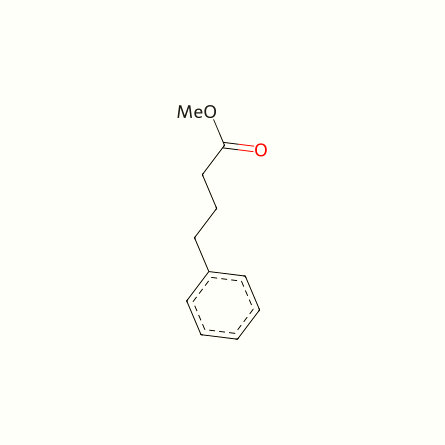 COC(=O)CCCc1ccccc1